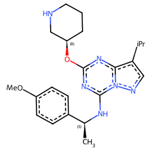 COc1ccc([C@H](C)Nc2nc(O[C@@H]3CCCNC3)nc3c(C(C)C)cnn23)cc1